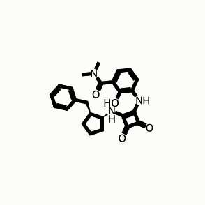 CN(C)C(=O)c1cccc(Nc2c(N[C@@H]3CCC[C@H]3Cc3ccccc3)c(=O)c2=O)c1O